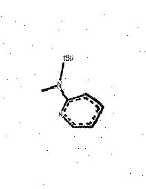 CN(c1ccccn1)C(C)(C)C